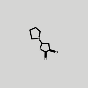 O=C1CC(N2CCCC2)OC1=O